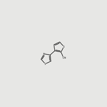 N#Cc1sccc1-c1cscn1